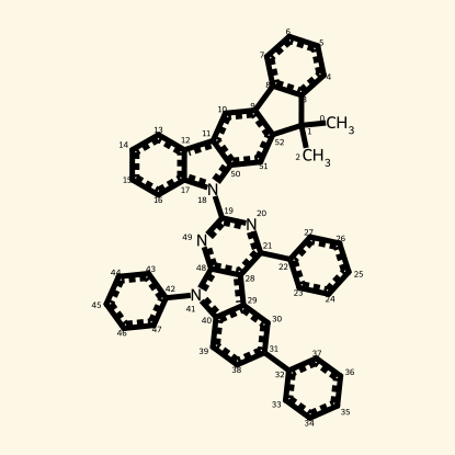 CC1(C)c2ccccc2-c2cc3c4ccccc4n(-c4nc(-c5ccccc5)c5c6cc(-c7ccccc7)ccc6n(-c6ccccc6)c5n4)c3cc21